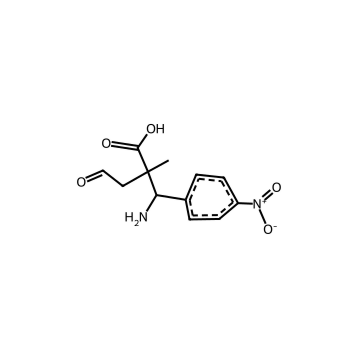 CC(CC=O)(C(=O)O)C(N)c1ccc([N+](=O)[O-])cc1